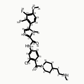 CNCCC1CCN(C(=O)c2ccc(NC(=O)c3ncc(-c4ccc(OC)c(F)c4F)n3C)cc2Cl)CC1